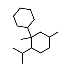 CC1CCC(C(C)C)C(C)(C2CCCCC2)C1